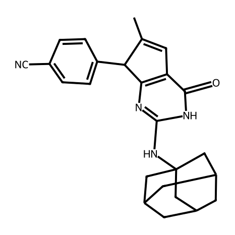 CC1=Cc2c(nc(NC34CC5CC(CC(C5)C3)C4)[nH]c2=O)C1c1ccc(C#N)cc1